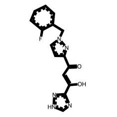 O=C(C=C(O)c1nc[nH]n1)c1ccn(Cc2ccccc2F)n1